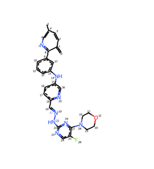 C=C1C=CC(C)=CN=C1c1cccc(Nc2ccc(/C=N/Nc3ncc(F)c(N4CCOCC4)n3)nc2)c1